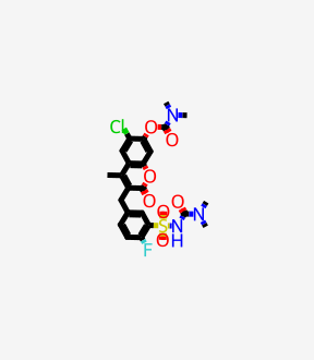 Cc1c(Cc2ccc(F)c(S(=O)(=O)NC(=O)N(C)C)c2)c(=O)oc2cc(OC(=O)N(C)C)c(Cl)cc12